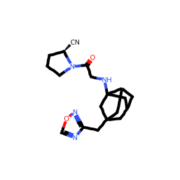 N#C[C@@H]1CCCN1C(=O)CNC12CC3CC1CC(Cc1ncon1)(C3)C2